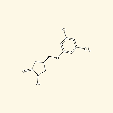 CC(=O)N1C[C@H](COc2cc(C)cc(Cl)c2)CC1=O